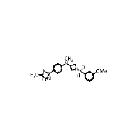 COc1cccc(S(=O)(=O)N2CC(N(C)c3ccc(-c4noc(C(F)(F)F)n4)cc3)C2)c1